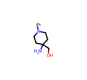 CC(C)N1CCC(N)(CO)CC1